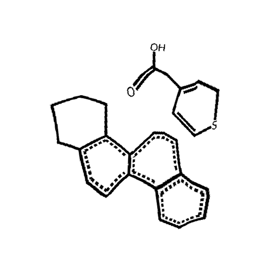 O=C(O)C1=CCSC=C1.c1ccc2c(c1)ccc1c3c(ccc12)CCCC3